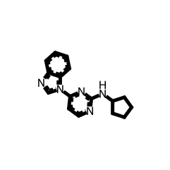 c1ccc2c(c1)ncn2-c1ccnc(NC2CCCC2)n1